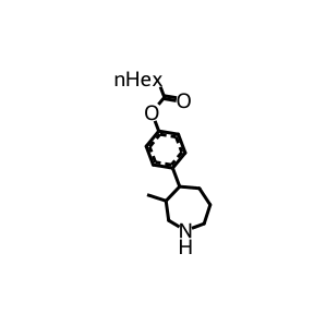 CCCCCCC(=O)Oc1ccc(C2CCCNCC2C)cc1